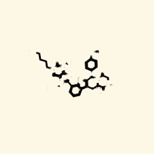 CC(=O)CCCCn1c(=O)c2c(nc(-c3cccc4c5c([nH]c34)[C@@H](c3ccc4c(c3)OCO4)N3C(=O)CN(C)C(=O)[C@H]3C5)n2C)n(C)c1=O